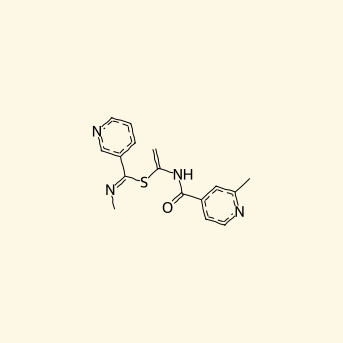 C=C(NC(=O)c1ccnc(C)c1)S/C(=N\C)c1cccnc1